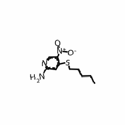 CCCCCSc1cc(N)ncc1[N+](=O)[O-]